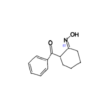 O=C(c1ccccc1)C1CCCC/C1=N\O